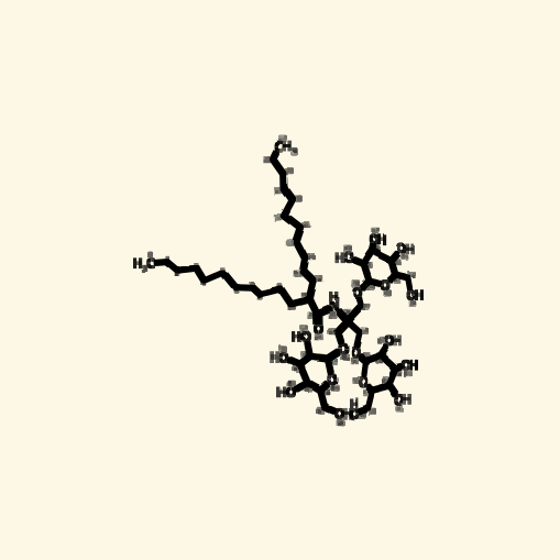 CCCCCCCCCCCC(CCCCCCCCCCC)C(=O)NC(COC1OC(CO)C(O)C(O)C1O)(COC1OC(CO)C(O)C(O)C1O)COC1OC(CO)C(O)C(O)C1O